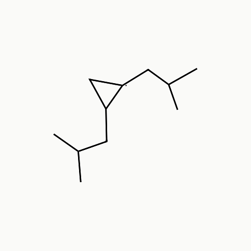 CC(C)C[C]1CC1CC(C)C